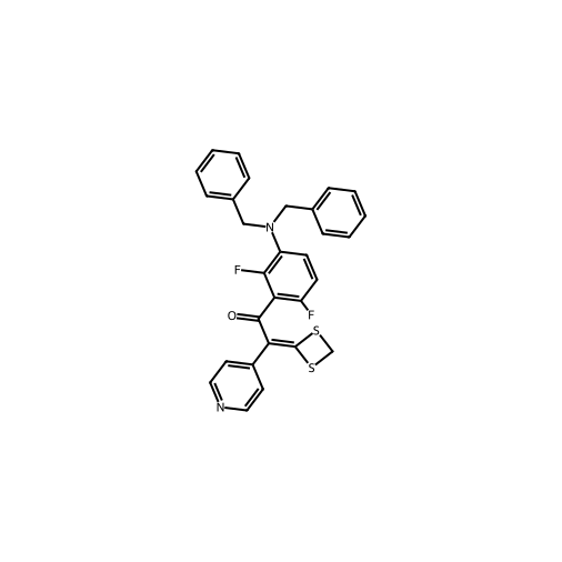 O=C(C(=C1SCS1)c1ccncc1)c1c(F)ccc(N(Cc2ccccc2)Cc2ccccc2)c1F